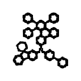 c1ccc(-c2ccc(N(c3ccc4c(c3)C3(CCCCC3)c3ccccc3-4)c3ccc4c(c3)c3ccccc3c3c(-c5ccccc5)cc(-c5ccccc5)c(-c5ccccc5)c43)cc2)cc1